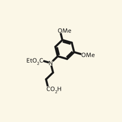 CCOC(=O)N(CCC(=O)O)c1cc(OC)cc(OC)c1